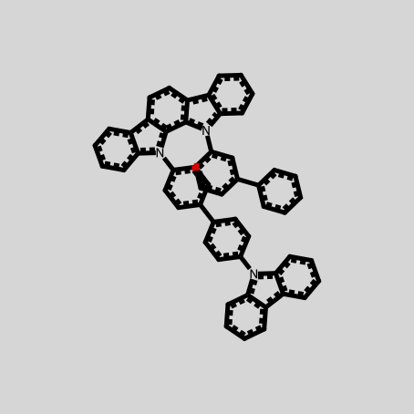 c1ccc(-c2cccc(-n3c4ccccc4c4ccc5c6ccccc6n(-c6ccc(-c7ccc(-n8c9ccccc9c9ccccc98)cc7)cc6)c5c43)c2)cc1